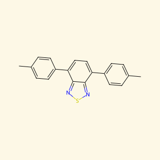 Cc1ccc(-c2ccc(-c3ccc(C)cc3)c3nsnc23)cc1